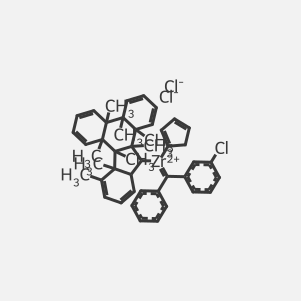 CC1=CC=CC2[CH](/[Zr+2]([C]3=CC=CC3)=[C](\c3ccccc3)c3cccc(Cl)c3)C3(C)C4(C)C=CC=CC4(C)C4(C)C=CC=CC4(C)C3(C)C12C.[Cl-].[Cl-]